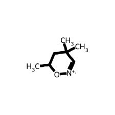 CC1CC(C)(C)C=[N+]O1